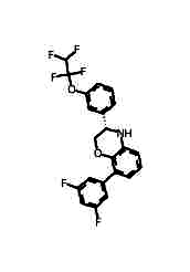 Fc1cc(F)cc(-c2cccc3c2OC[C@H](c2cccc(OC(F)(F)C(F)F)c2)N3)c1